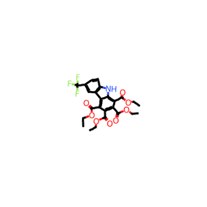 CCOC(=O)c1c(C(=O)OCC)c(C(=O)OCC)c2c([nH]c3ccc(C(F)(F)F)cc32)c1C(=O)OCC